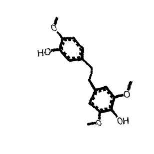 COc1ccc(CCc2cc(OC)c(O)c(OC)c2)cc1O